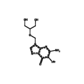 CCCn1c(N)nc2c(ncn2COC(CO)CO)c1=O